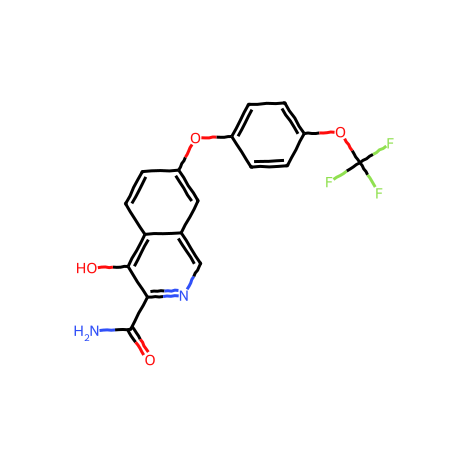 NC(=O)c1ncc2cc(Oc3ccc(OC(F)(F)F)cc3)ccc2c1O